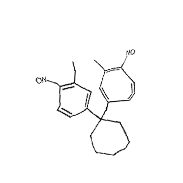 Cc1cc(C2(c3ccc(N=O)c(C)c3)CCCCC2)ccc1N=O